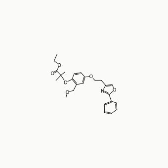 CCOC(=O)C(C)(C)Oc1ccc(OCCc2coc(-c3ccccc3)n2)cc1COC